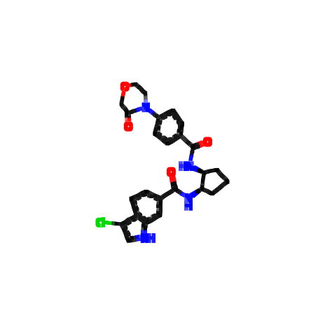 O=C(N[C@H]1CCC[C@H]1NC(=O)c1ccc2c(Cl)c[nH]c2c1)c1ccc(N2CCOCC2=O)cc1